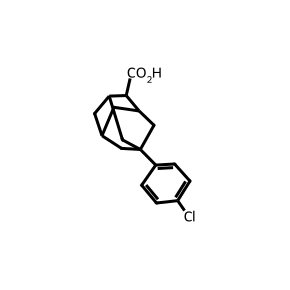 O=C(O)C1C2CC3CC1CC(c1ccc(Cl)cc1)(C3)C2